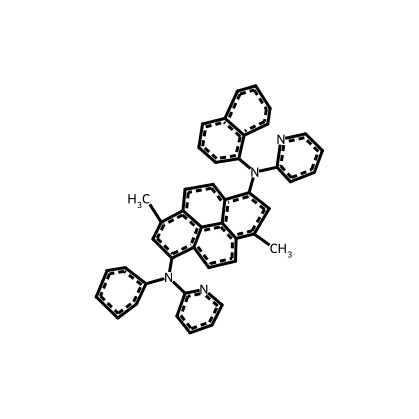 Cc1cc(N(c2ccccc2)c2ccccn2)c2ccc3c(C)cc(N(c4ccccn4)c4cccc5ccccc45)c4ccc1c2c34